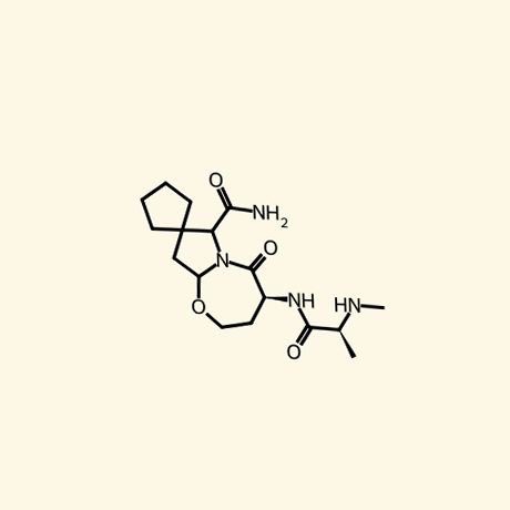 CN[C@@H](C)C(=O)N[C@H]1CCOC2CC3(CCCC3)C(C(N)=O)N2C1=O